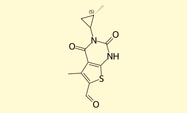 Cc1c(C=O)sc2[nH]c(=O)n(C3C[C@@H]3C)c(=O)c12